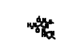 COc1nc(SC)nc(Nc2ccc(C)nc2)c1C(N)=O